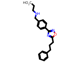 O=C(O)CCNCc1ccc(-c2noc(CCCc3ccccc3)n2)cc1